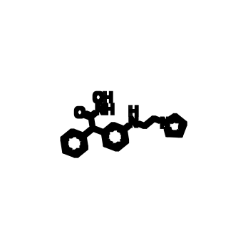 O=C(NO)C(c1ccccc1)c1cccc(NCCn2cccc2)c1